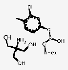 CCCCCCOB(O)Oc1ccc(C)c(Cl)c1.NC(CO)(CO)CO